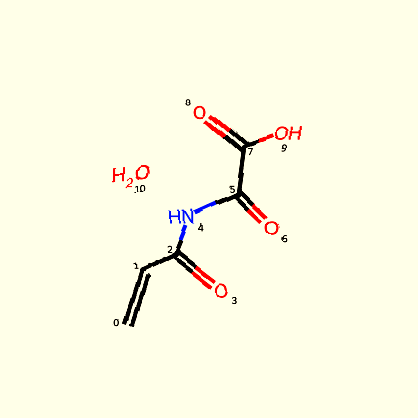 C=CC(=O)NC(=O)C(=O)O.O